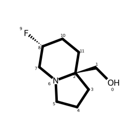 OC[C@@]12CCCN1C[C@H](F)CC2